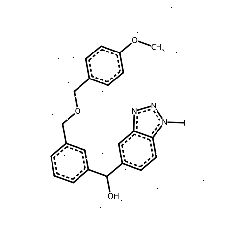 COc1ccc(COCc2cccc(C(O)c3ccc4c(c3)nnn4I)c2)cc1